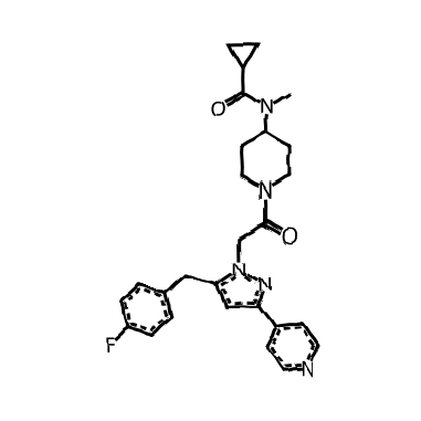 CN(C(=O)C1CC1)C1CCN(C(=O)Cn2nc(-c3ccncc3)cc2Cc2ccc(F)cc2)CC1